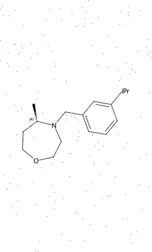 CC(C)c1cccc(CN2CCOCC[C@H]2C)c1